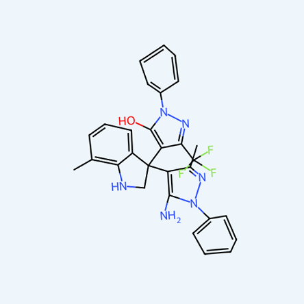 Cc1cccc2c1NCC2(c1c(C)nn(-c2ccccc2)c1N)c1c(C(F)(F)F)nn(-c2ccccc2)c1O